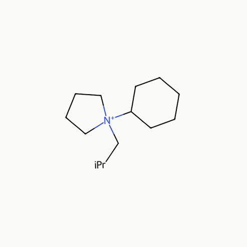 CC(C)C[N+]1(C2CCCCC2)CCCC1